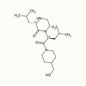 CC(C)C[C@@H]1NCCN([C@@H](CC(C)C)C(=O)N2CCC(CO)CC2)C1=O